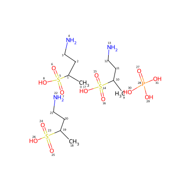 CC(CCN)S(=O)(=O)O.CC(CCN)S(=O)(=O)O.CC(CCN)S(=O)(=O)O.O=P(O)(O)O